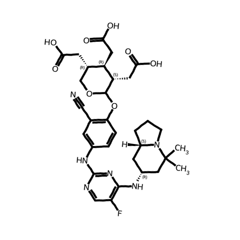 CC1(C)C[C@H](Nc2nc(Nc3ccc(OC4OC[C@H](CC(=O)O)[C@@H](CC(=O)O)[C@@H]4CC(=O)O)c(C#N)c3)ncc2F)C[C@@H]2CCCN21